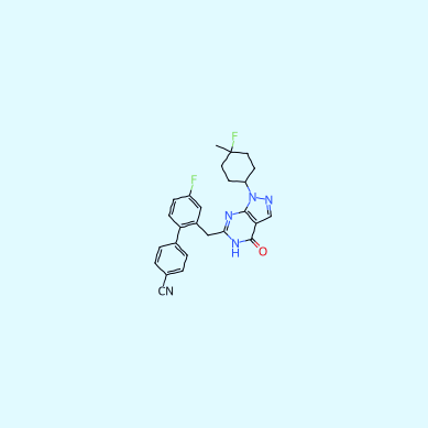 CC1(F)CCC(n2ncc3c(=O)[nH]c(Cc4cc(F)ccc4-c4ccc(C#N)cc4)nc32)CC1